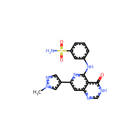 Cn1cc(-c2cc3nc[nH]c(=O)c3c(Nc3cccc(S(N)(=O)=O)c3)n2)cn1